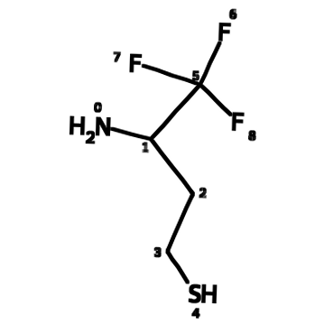 NC(CCS)C(F)(F)F